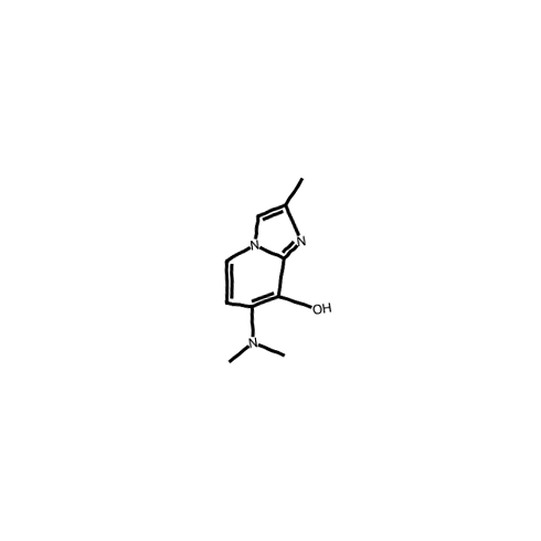 Cc1cn2ccc(N(C)C)c(O)c2n1